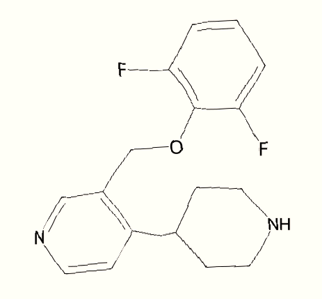 Fc1cccc(F)c1OCc1cnccc1C1CCNCC1